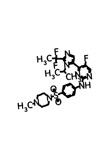 CC(C)n1c(-c2nc(Nc3ccc(S(=O)(=O)N4CCN(C)CC4)cc3)ncc2F)cnc1C(C)(F)F